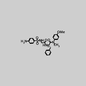 COc1ccc(N(C)C(=O)[C@H](Cc2ccccc2)NC(=O)CNS(=O)(=O)c2ccc(N)cc2)cc1